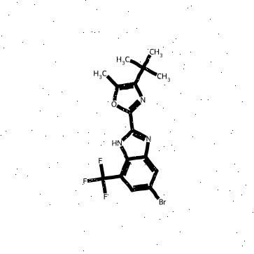 Cc1oc(-c2nc3cc(Br)cc(C(F)(F)F)c3[nH]2)nc1C(C)(C)C